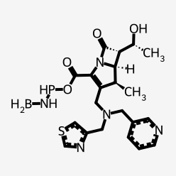 BNPOC(=O)C1=C(CN(Cc2cccnc2)Cc2cscn2)[C@H](C)[C@@H]2[C@@H]([C@@H](C)O)C(=O)N12